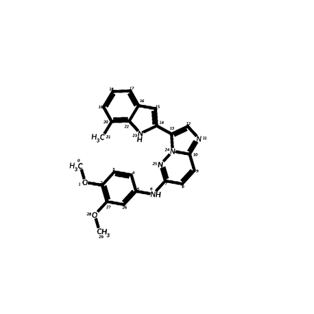 COc1ccc(Nc2ccc3ncc(-c4cc5cccc(C)c5[nH]4)n3n2)cc1OC